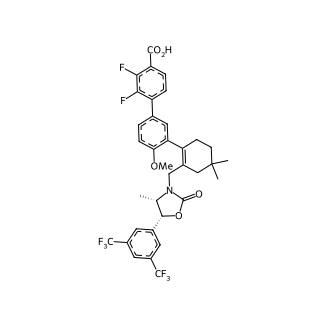 COc1ccc(-c2ccc(C(=O)O)c(F)c2F)cc1C1=C(CN2C(=O)O[C@H](c3cc(C(F)(F)F)cc(C(F)(F)F)c3)[C@@H]2C)CC(C)(C)CC1